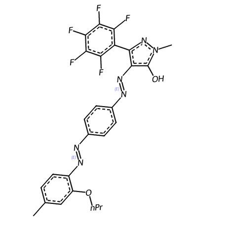 CCCOc1cc(C)ccc1/N=N/c1ccc(/N=N/c2c(-c3c(F)c(F)c(F)c(F)c3F)nn(C)c2O)cc1